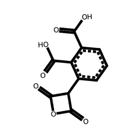 O=C(O)c1cccc(C2C(=O)OC2=O)c1C(=O)O